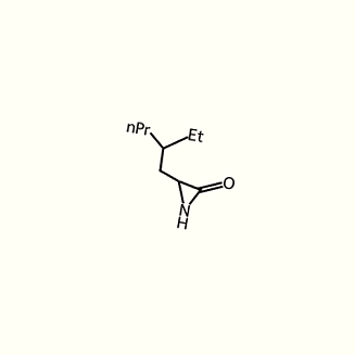 CCCC(CC)CC1NC1=O